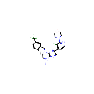 Cc1ccc(C(F)(F)F)cc1CN1CCNc2ncc(-c3ccnc(N4CCOCC4)c3F)nc21